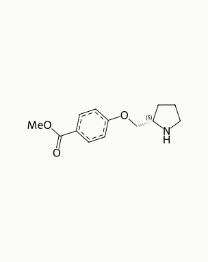 COC(=O)c1ccc(OC[C@@H]2CCCN2)cc1